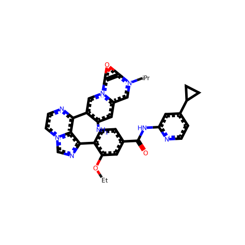 CCOc1cc(C(=O)Nc2cc(C3CC3)ccn2)ccc1-c1ncn2ccnc(-c3cn4c5oc=5n(C(C)C)cc4cc3N)c12